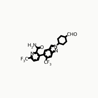 NC(=O)c1nc(C(F)(F)F)ccc1-c1cc2cn(C3CCC(C=O)CC3)nc2cc1C(F)(F)F